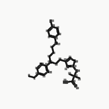 CCc1cnc(N(CCCOc2ccc(F)cc2)CCc2csc(SC(C)(C)C(=O)O)n2)nc1